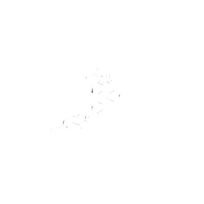 CC1(C)CCC(C)(C)c2c(O)cc(-c3cc(-c4ccc(OC(=O)O)cc4)ccc3-c3ccccc3)cc21